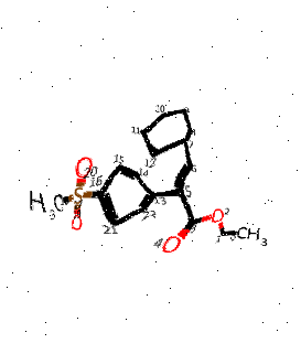 CCOC(=O)/C(=C/C1CCCCC1)c1ccc(S(C)(=O)=O)cc1